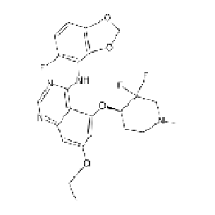 CCOc1cc(O[C@@H]2CCN(C)CC2(F)F)c2c(Nc3c(F)ccc4c3OCO4)ncnc2c1